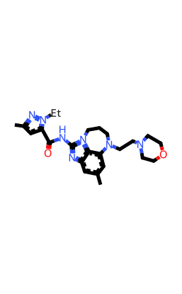 CCn1nc(C)cc1C(=O)Nc1nc2cc(C)cc3c2n1CCCN3CCN1CCOCC1